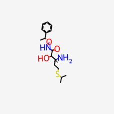 CC(C)SCC[C@@H](N)C(O)C(=O)NOC(C)c1ccccc1